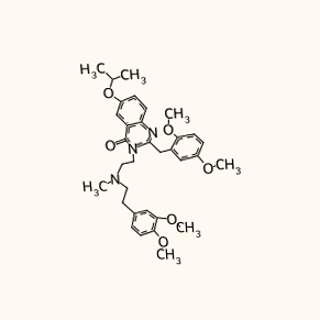 COc1ccc(OC)c(Cc2nc3ccc(OC(C)C)cc3c(=O)n2CCN(C)CCc2ccc(OC)c(OC)c2)c1